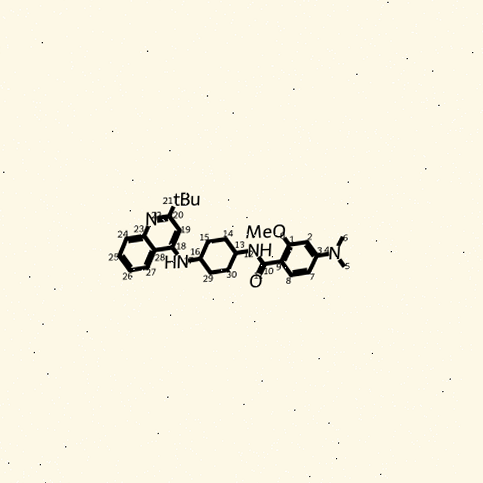 COc1cc(N(C)C)ccc1C(=O)NC1CCC(Nc2cc(C(C)(C)C)nc3ccccc23)CC1